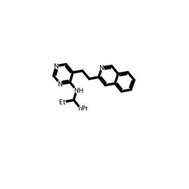 CCCC(CC)Nc1ncncc1CCc1cc2ccccc2cn1